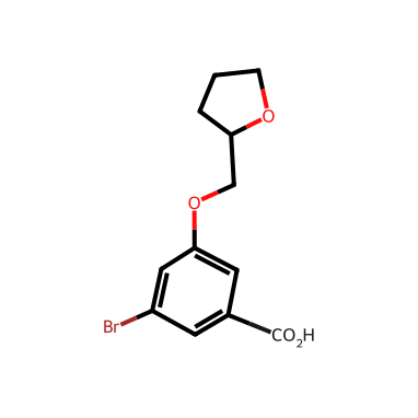 O=C(O)c1cc(Br)cc(OCC2CCCO2)c1